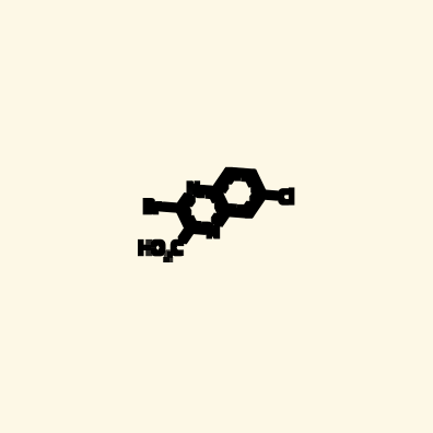 O=C(O)c1nc2cc(Cl)ccc2nc1Br